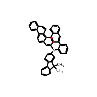 CC1(C)c2ccccc2-c2ccc(N(c3ccc4c(ccc5c6ccccc6ccc45)c3)c3ccccc3-c3ccc4ccccc4c3)cc21